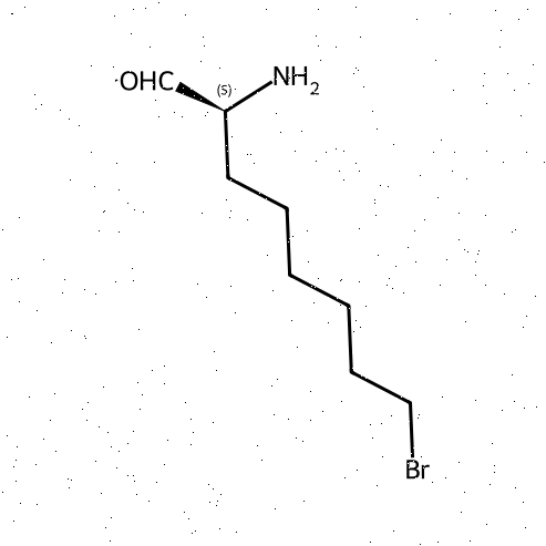 N[C@H]([C]=O)CCCCCCBr